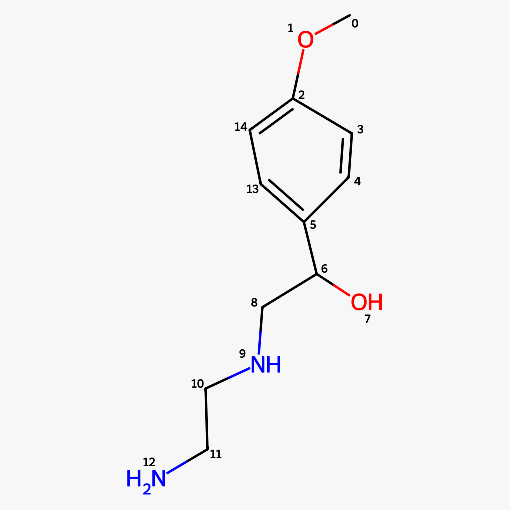 COc1ccc(C(O)CNCCN)cc1